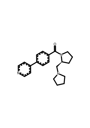 O=C(c1ccc(-c2ccncc2)cc1)N1CCC[C@H]1CN1CCCC1